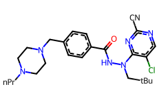 CCCN1CCN(Cc2ccc(C(=O)NN(CC(C)(C)C)c3nc(C#N)ncc3Cl)cc2)CC1